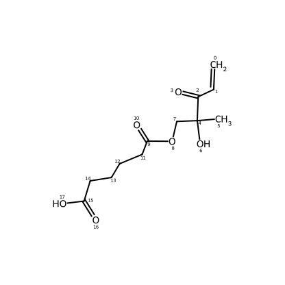 C=CC(=O)C(C)(O)COC(=O)CCCCC(=O)O